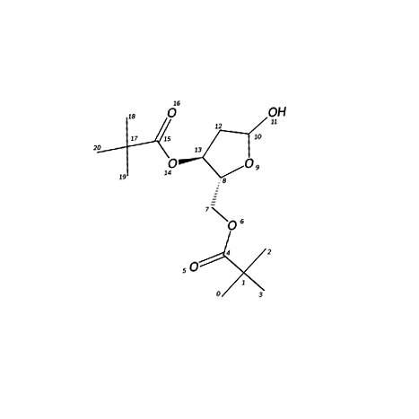 CC(C)(C)C(=O)OC[C@H]1OC(O)C[C@@H]1OC(=O)C(C)(C)C